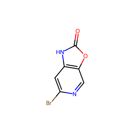 O=c1[nH]c2cc(Br)ncc2o1